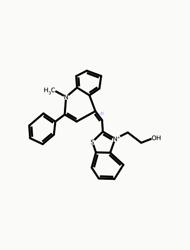 CN1C(c2ccccc2)=C/C(=C\c2sc3ccccc3[n+]2CCO)c2ccccc21